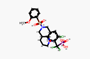 COc1ccccc1S(=O)(=O)N(Cc1ccc(C(F)(F)P(=O)(O)O)c(Cl)c1)CC1CCCNC1